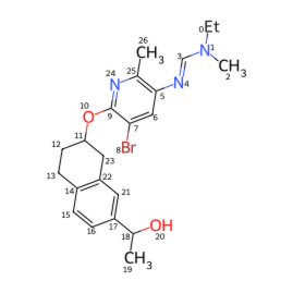 CCN(C)/C=N/c1cc(Br)c(OC2CCc3ccc(C(C)O)cc3C2)nc1C